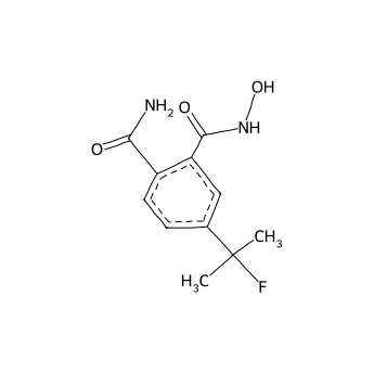 CC(C)(F)c1ccc(C(N)=O)c(C(=O)NO)c1